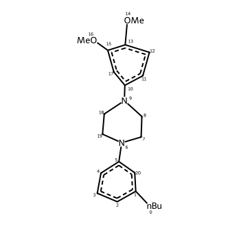 [CH2]CCCc1cccc(N2CCN(c3ccc(OC)c(OC)c3)CC2)c1